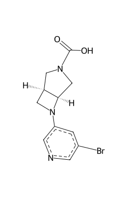 O=C(O)N1C[C@@H]2CN(c3cncc(Br)c3)[C@@H]2C1